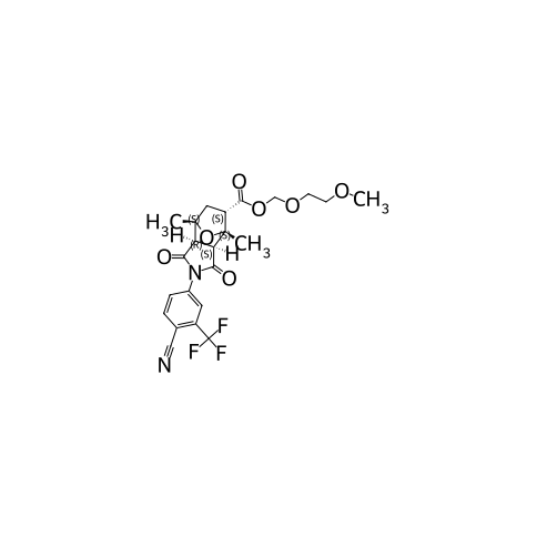 COCCOCOC(=O)[C@H]1C[C@]2(C)O[C@@]1(C)[C@H]1C(=O)N(c3ccc(C#N)c(C(F)(F)F)c3)C(=O)[C@H]12